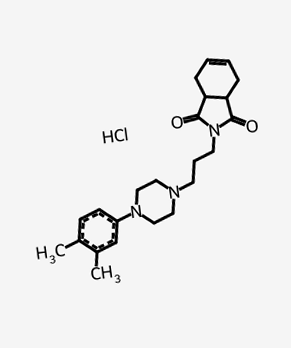 Cc1ccc(N2CCN(CCCN3C(=O)C4CC=CCC4C3=O)CC2)cc1C.Cl